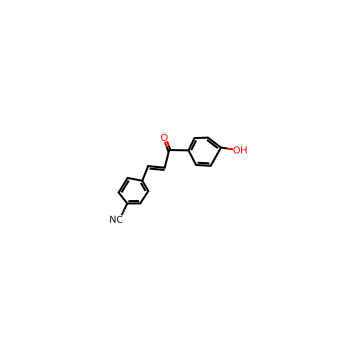 N#Cc1ccc(C=CC(=O)c2ccc(O)cc2)cc1